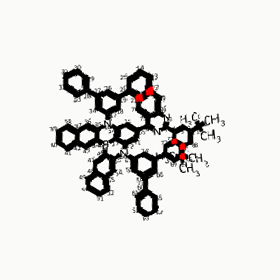 CC(C)(C)c1cc(-c2nc(-c3cc4c5c(c3)N(c3cc(-c6ccccc6)cc(-c6ccccc6)c3)c3cc6ccccc6cc3B5c3cc5ccccc5cc3N4c3cc(-c4ccccc4)cc(-c4ccccc4)c3)c3ccccc3n2)cc(C(C)(C)C)c1